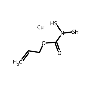 C=CCOC(=O)N(S)S.[Cu]